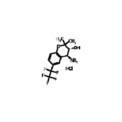 CC1(C)Oc2ccc(C(F)(F)C(F)(F)F)cc2[C@H](N)[C@H]1O.Cl